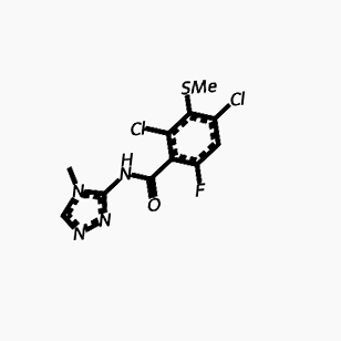 CSc1c(Cl)cc(F)c(C(=O)Nc2nncn2C)c1Cl